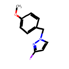 COc1ccc(Cn2ccc(I)n2)cc1